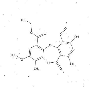 CCOC(=O)c1cc(OC)c(C)c2c1Oc1c(C=O)c(O)cc(C)c1C(=O)O2